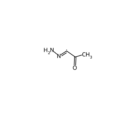 CC(=O)[C]=NN